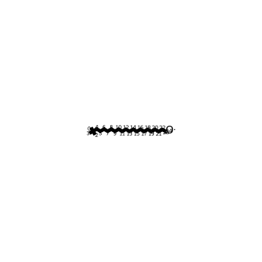 CC(C)(C)CCCCCCCCCCCCCCCCCCCC[O]